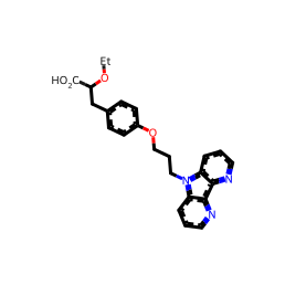 CCOC(Cc1ccc(OCCCn2c3cccnc3c3ncccc32)cc1)C(=O)O